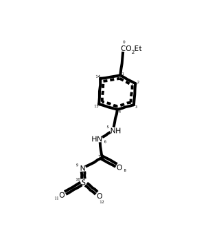 CCOC(=O)c1ccc(NNC(=O)N=S(=O)=O)cc1